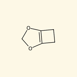 C1OC2=C(CC2)O1